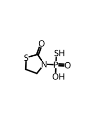 O=C1SCCN1P(=O)(O)S